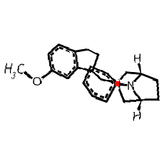 COc1ccc2c(c1)C(CN1C[C@H]3CC[C@@H](C1)N3c1ccccc1)CC2